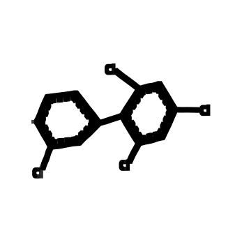 Clc1[c]ccc(-c2c(Cl)cc(Cl)cc2Cl)c1